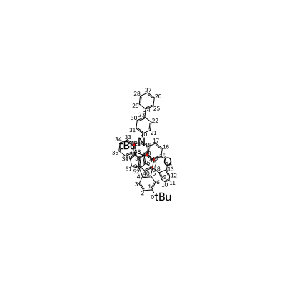 CC(C)(C)c1ccc2c(c1)C1(c3ccccc3Oc3ccc(N(c4ccc(-c5ccccc5)cc4)c4ccccc4-c4ccccc4)cc31)c1cc(C(C)(C)C)ccc1-2